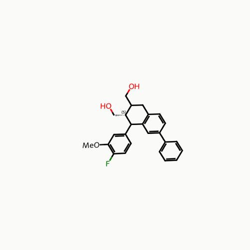 COc1cc(C2c3cc(-c4ccccc4)ccc3CC(CO)[C@H]2CO)ccc1F